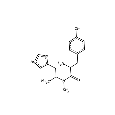 CN(C(=O)C(N)Cc1ccc(O)cc1)C(Cc1c[nH]cn1)C(=O)O